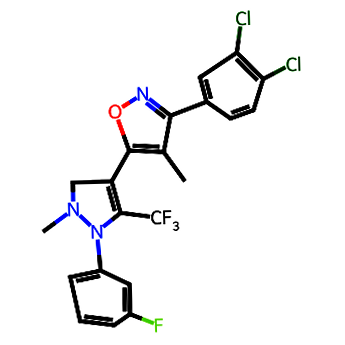 Cc1c(-c2ccc(Cl)c(Cl)c2)noc1C1=C(C(F)(F)F)N(c2cccc(F)c2)N(C)C1